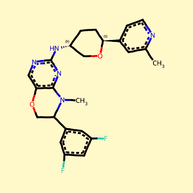 Cc1cc([C@@H]2CC[C@@H](Nc3ncc4c(n3)N(C)C(c3cc(F)cc(F)c3)CO4)CO2)ccn1